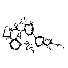 COc1cccc([C@@H]2CCON2C(=O)Nc2cc(-c3ccc4nc(N)nn4c3)cnc2C)c1